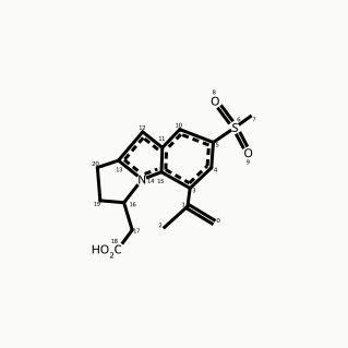 C=C(C)c1cc(S(C)(=O)=O)cc2cc3n(c12)C(CC(=O)O)CC3